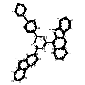 c1ccc(-c2ccc(C3N=C(c4ccc5c(c4)sc4ccccc45)N=C(c4c5ccccc5cc5c4oc4ccccc45)N3)cc2)cc1